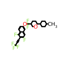 CC1CCC(C2CCC(C(F)(F)Oc3ccc4c(F)c(C#CC(F)(F)F)c(F)cc4c3)CO2)CC1